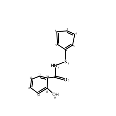 O=C(NSc1ccccc1)c1ccccc1O